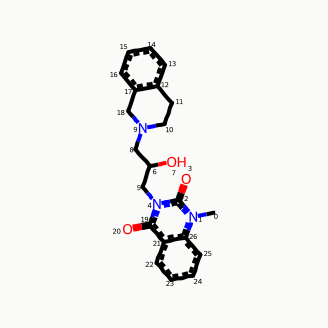 Cn1c(=O)n(CC(O)CN2CCc3ccccc3C2)c(=O)c2ccccc21